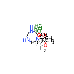 C[C](=O)[Ti]([CH3])([CH3])([C](C)=O)([C](C)=O)[N]1CCNCCNCC1.Cl.Cl.Cl